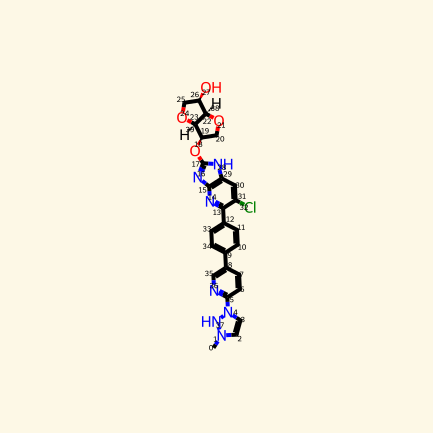 CN1C=CN(c2ccc(-c3ccc(-c4nc5nc(O[C@@H]6CO[C@H]7[C@@H]6OC[C@H]7O)[nH]c5cc4Cl)cc3)cn2)N1